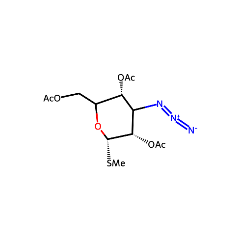 CS[C@@H]1OC(COC(C)=O)[C@H](OC(C)=O)C(N=[N+]=[N-])[C@@H]1OC(C)=O